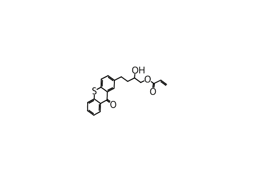 C=CC(=O)OCC(O)CCc1ccc2sc3ccccc3c(=O)c2c1